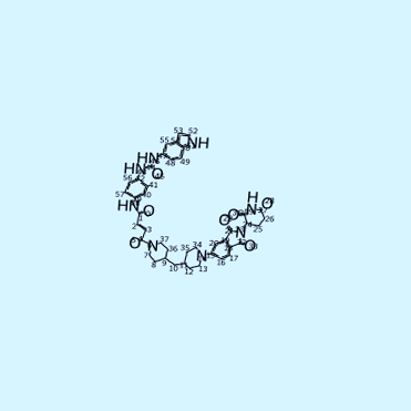 O=C(/C=C/C(=O)N1CCC(CC2CCN(c3ccc4c(c3)C(=O)N(C3CCC(=O)NC3=O)C4=O)CC2)CC1)Nc1ccc(NC(=O)Nc2ccc3[nH]ccc3c2)cc1